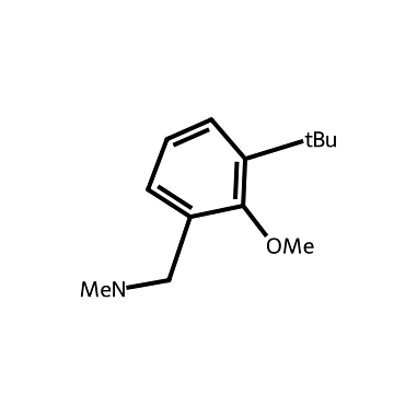 CNCc1cccc(C(C)(C)C)c1OC